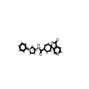 O=C1OC2(CCC(C(=O)N[C@H]3CCN(c4ccccc4)C3)CC2)c2cnccc21